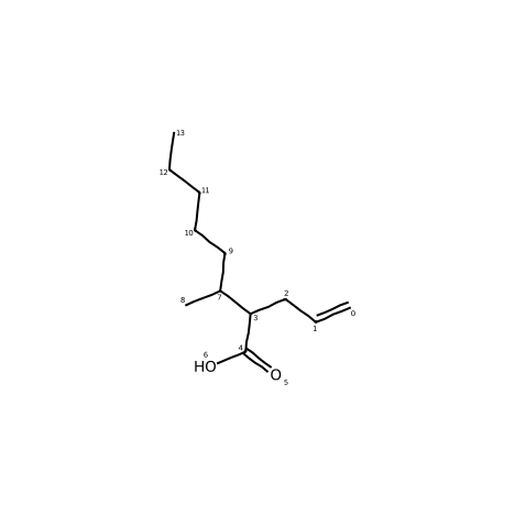 C=CCC(C(=O)O)C(C)CCCCC